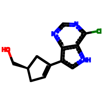 OC[C@@H]1CC=C(c2c[nH]c3c(Cl)ncnc23)C1